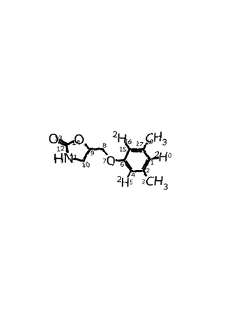 [2H]c1c(C)c([2H])c(OCC2CNC(=O)O2)c([2H])c1C